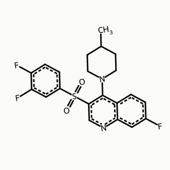 CC1CCN(c2c(S(=O)(=O)c3ccc(F)c(F)c3)cnc3cc(F)ccc23)CC1